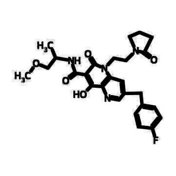 COCC(C)NC(=O)c1c(O)c2ncc(Cc3ccc(F)cc3)cc2n(CCN2CCCC2=O)c1=O